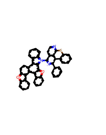 c1ccc(-c2nc(-n3c4ccccc4c4c5ccc6oc7ccccc7c6c5c5c6ccccc6oc5c43)c3ccnc4c3c2-c2ccccc2S4)cc1